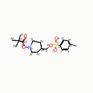 Cc1ccc(S(=O)(=O)OCC2CCN(OC(=O)C(C)(C)C)CC2)cc1